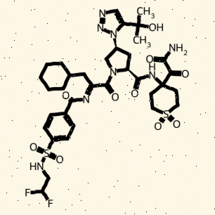 CC(C)(O)c1cnnn1[C@H]1C[C@@H](C(=O)NC2(C(=O)C(N)=O)CCS(=O)(=O)CC2)N(C(=O)/C(CC2CCCCC2)=N/C(=O)c2ccc(S(=O)(=O)NCC(F)F)cc2)C1